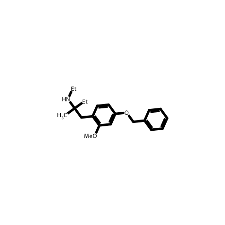 CCNC(C)(CC)Cc1ccc(OCc2ccccc2)cc1OC